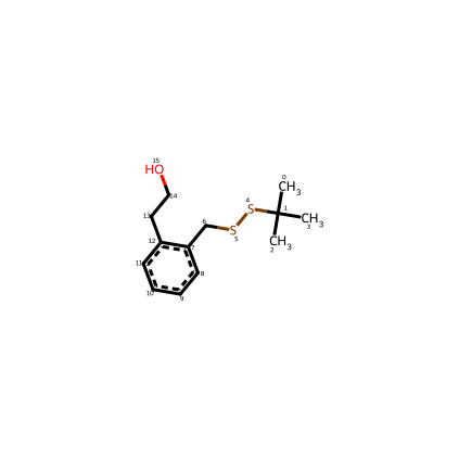 CC(C)(C)SSCc1ccccc1CCO